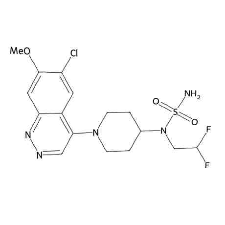 COc1cc2nncc(N3CCC(N(CC(F)F)S(N)(=O)=O)CC3)c2cc1Cl